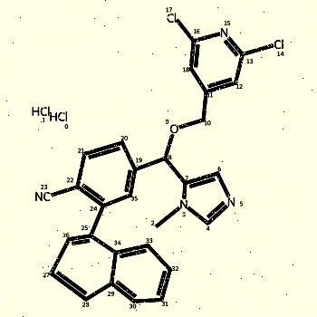 Cl.Cl.Cn1cncc1C(OCc1cc(Cl)nc(Cl)c1)c1ccc(C#N)c(-c2cccc3ccccc23)c1